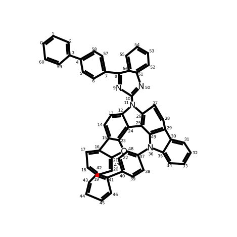 c1ccc(-c2ccc(-c3nc(-n4c5ccc6c7ccccc7oc6c5c5c4ccc4c6ccccc6n(-c6ccc(-c7ccccc7)cc6)c45)nc4ccccc34)cc2)cc1